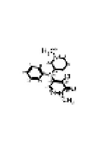 CN1CCCC(N(c2ccccc2)c2cnn(C)c(=O)c2Cl)C1